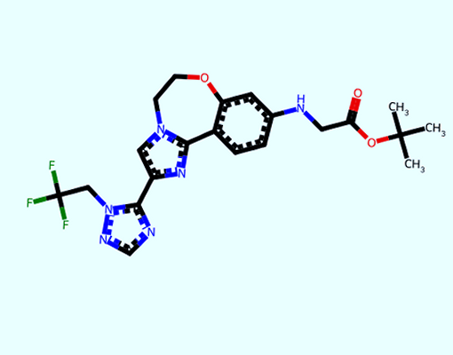 CC(C)(C)OC(=O)CNc1ccc2c(c1)OCCn1cc(-c3ncnn3CC(F)(F)F)nc1-2